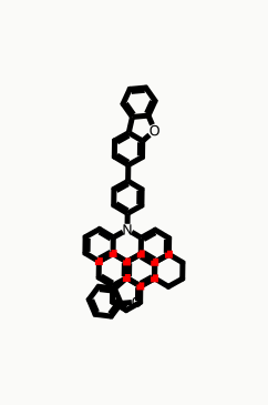 C1=c2cccc(C3CCCCC3)c2=C(c2ccccc2N(c2ccc(-c3ccc4c(c3)oc3ccccc34)cc2)c2ccccc2-c2cccc3oc4ccccc4c23)CC1